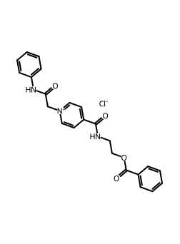 O=C(C[n+]1ccc(C(=O)NCCOC(=O)c2ccccc2)cc1)Nc1ccccc1.[Cl-]